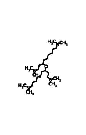 CN(C)CCCCCCC(CCN(C)C)OC(CCCCCCN(C)C)CCN(C)C